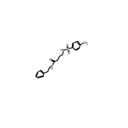 Cc1ccc(S(=O)(=O)NCCCC(=O)NCCc2ccccc2)cc1